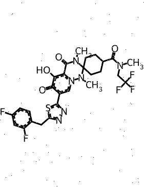 CN(CC(F)(F)F)C(=O)C1CCC2(CC1)N(C)C(=O)c1c(O)c(=O)c(-c3nnc(Cc4ccc(F)cc4F)s3)cn1N2C